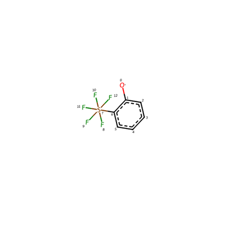 [O]c1ccccc1S(F)(F)(F)(F)F